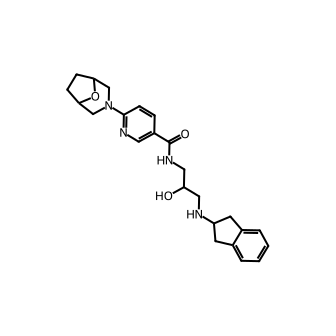 O=C(NCC(O)CNC1Cc2ccccc2C1)c1ccc(N2CC3CCC(C2)O3)nc1